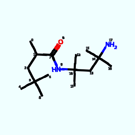 CC(CC(C)(C)C)C(=O)NC(C)(C)CC(C)(C)N